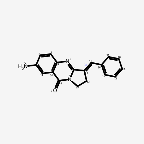 Nc1ccc2nc3n(c(=O)c2c1)CC/C3=C\c1ccccc1